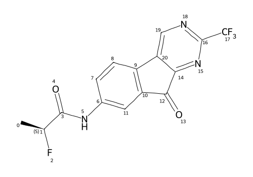 C[C@H](F)C(=O)Nc1ccc2c(c1)C(=O)c1nc(C(F)(F)F)ncc1-2